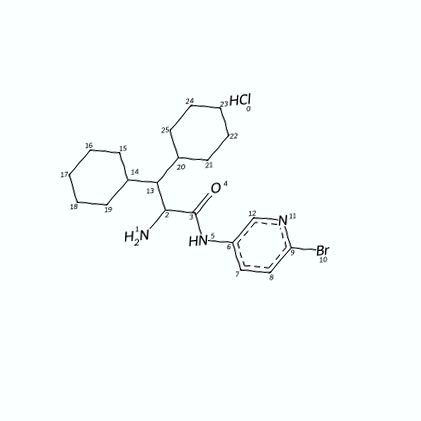 Cl.NC(C(=O)Nc1ccc(Br)nc1)C(C1CCCCC1)C1CCCCC1